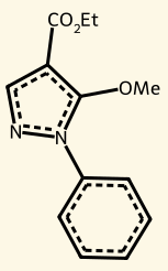 CCOC(=O)c1cnn(-c2ccccc2)c1OC